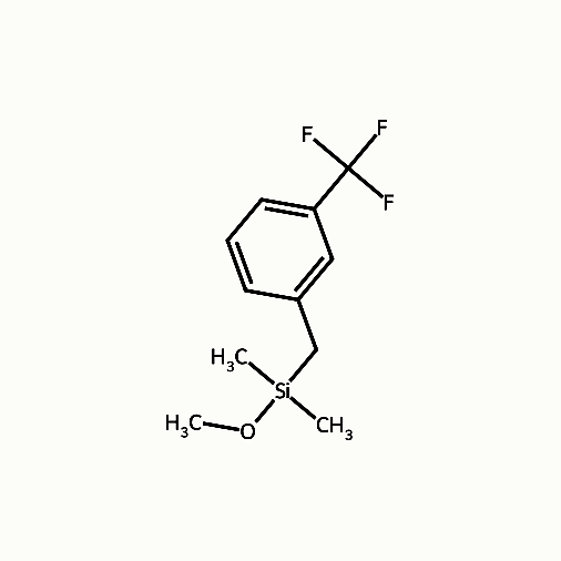 CO[Si](C)(C)Cc1cccc(C(F)(F)F)c1